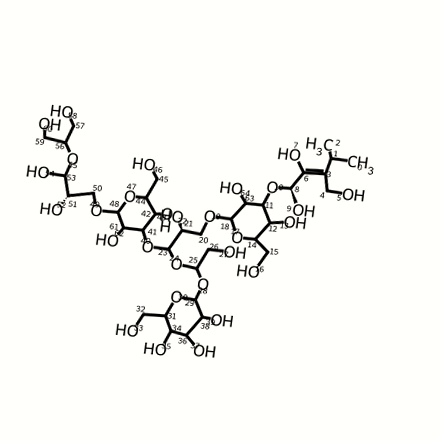 CC(C)/C(CO)=C(\O)[C@@H](O)OC1C(O)C(CO)OC(OC[C@H](O)C(OC(CO)OC2OC(CO)C(O)C(O)C2O)OC2C(O)C(CO)OC(OC[C@H](O)C(O)OC(CO)CO)C2O)C1O